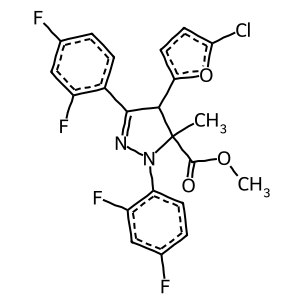 COC(=O)C1(C)C(c2ccc(Cl)o2)C(c2ccc(F)cc2F)=NN1c1ccc(F)cc1F